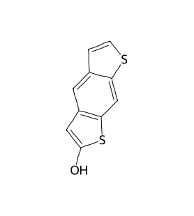 Oc1cc2cc3ccsc3cc2s1